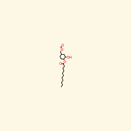 CCCCCCCCCCC(=O)OC1CCC(CO[C]=O)CC1O